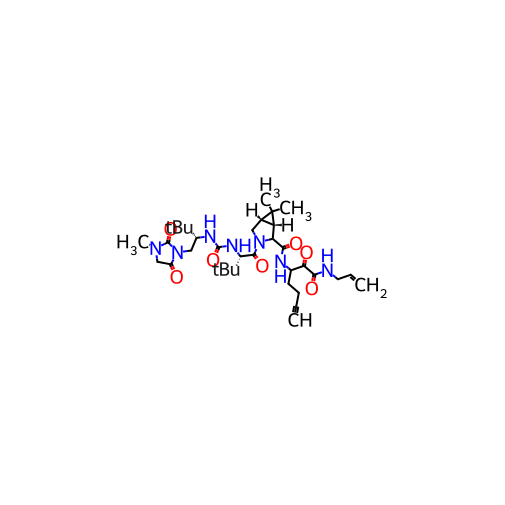 C#CCCC(NC(=O)C1[C@@H]2[C@H](CN1C(=O)[C@@H](NC(=O)N[C@H](CN1C(=O)CN(C)C1=O)C(C)(C)C)C(C)(C)C)C2(C)C)C(=O)C(=O)NCC=C